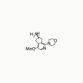 COc1cnc(N2CCOCC2)c2c1C[SH](N)C2